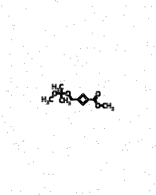 COC(=O)[C@H]1C[C@@H](COC(C)(C)OC)C1